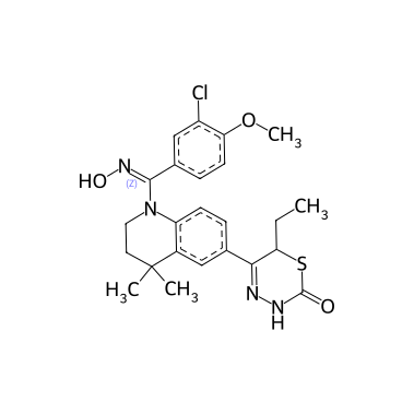 CCC1SC(=O)NN=C1c1ccc2c(c1)C(C)(C)CCN2/C(=N\O)c1ccc(OC)c(Cl)c1